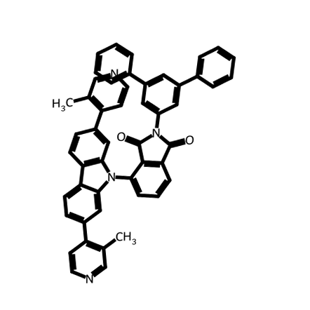 Cc1cnccc1-c1ccc2c3ccc(-c4ccncc4C)cc3n(-c3cccc4c3C(=O)N(c3cc(-c5ccccc5)cc(-c5ccccc5)c3)C4=O)c2c1